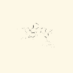 CC(NC1(C)CCC1)c1cc(C(F)(F)F)c2ncc(-c3cccc([C@]4(c5nncn5C)C[C@@H](C)C4)c3)c(=O)n2c1